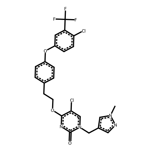 Cn1cc(Cn2cc(Cl)c(OCCc3ccc(Oc4ccc(Cl)c(C(F)(F)F)c4)cc3)nc2=O)cn1